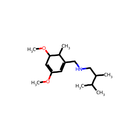 COC1=CC(OC)C(C)C(CNCC(C)C(C)C)=C1